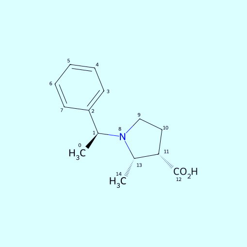 C[C@@H](c1ccccc1)N1CC[C@H](C(=O)O)[C@@H]1C